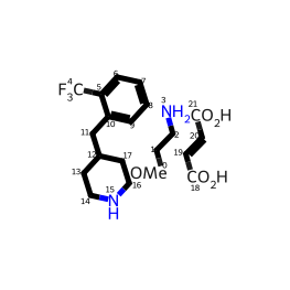 COCCN.FC(F)(F)c1ccccc1CC1CCNCC1.O=C(O)C=CC(=O)O